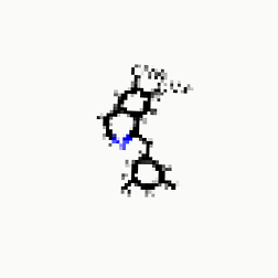 COc1cc2ccnc(Cc3cc(C)cc(C)c3)c2cc1OC